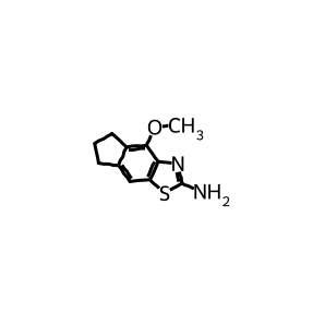 COc1c2c(cc3sc(N)nc13)CCC2